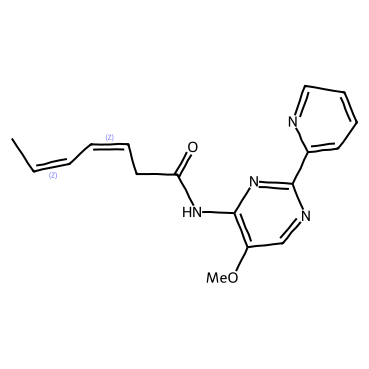 C/C=C\C=C/CC(=O)Nc1nc(-c2ccccn2)ncc1OC